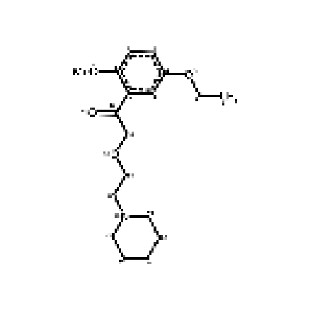 COc1ccc(OCC(F)(F)F)cc1C(=O)COCCN1CCCCC1